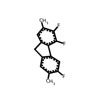 Cc1cc2c(cc1F)-c1c(cc(C)c(F)c1F)C2